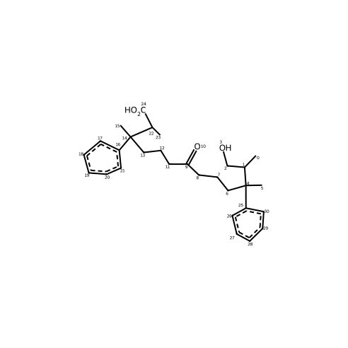 CC(CO)C(C)(CCCC(=O)CCCC(C)(c1ccccc1)C(C)C(=O)O)c1ccccc1